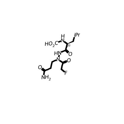 CC(C)C[C@H](NC(=O)O)C(=O)NN(CCC(N)=O)C(=O)CF